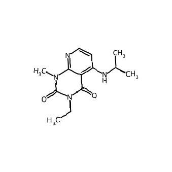 CCn1c(=O)c2c(NC(C)C)ccnc2n(C)c1=O